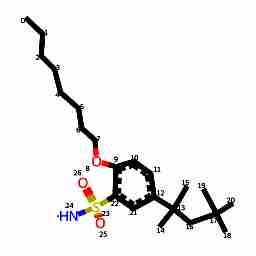 CCCCCCCCOc1ccc(C(C)(C)CC(C)(C)C)cc1S([NH])(=O)=O